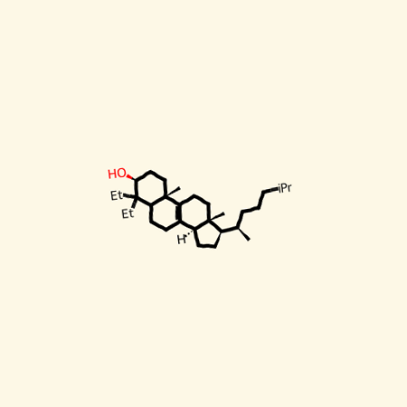 CCC1(CC)C2CCC3=C(CC[C@]4(C)[C@@H]([C@H](C)CCCC(C)C)CC[C@@H]34)[C@@]2(C)CC[C@@H]1O